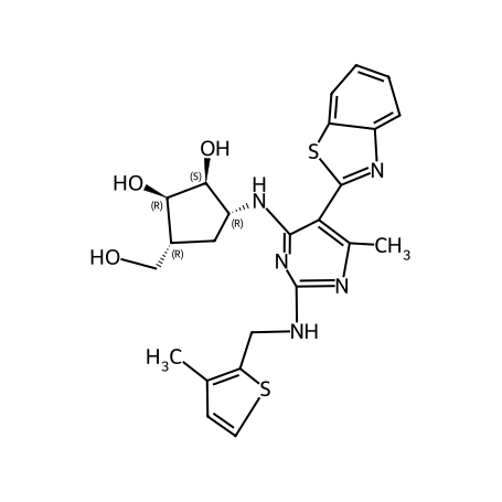 Cc1ccsc1CNc1nc(C)c(-c2nc3ccccc3s2)c(N[C@@H]2C[C@H](CO)[C@@H](O)[C@H]2O)n1